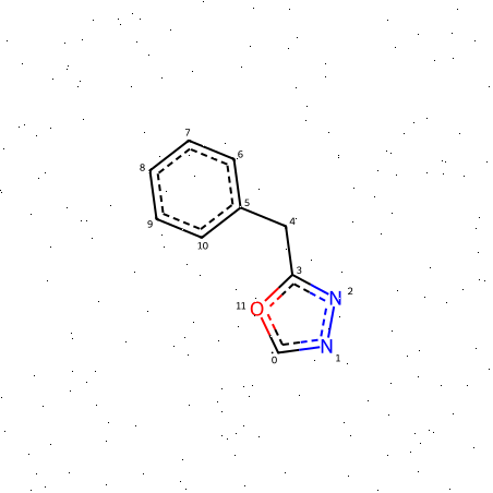 [c]1nnc(Cc2ccccc2)o1